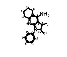 CC1c2c(nc3c(c2N)CCCC3)N(c2ccccc2)C1C